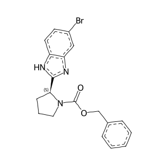 O=C(OCc1ccccc1)N1CCC[C@H]1c1nc2cc(Br)ccc2[nH]1